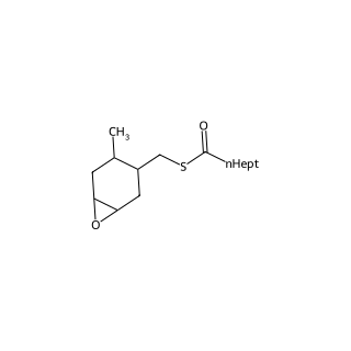 CCCCCCCC(=O)SCC1CC2OC2CC1C